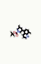 Cc1ccc(C2CC(C)CN(C(=O)OC(C)(C)C)C2)c2cccnc12